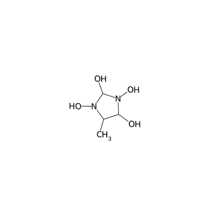 CC1C(O)N(O)C(O)N1O